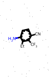 CCc1c(N)ccc(C#N)c1C(F)(F)F